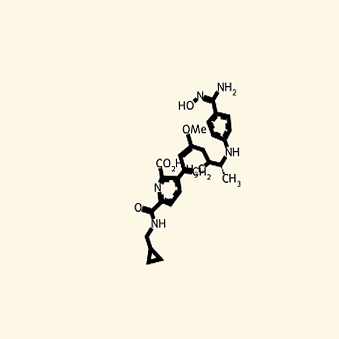 C=C(/C=C(\CC(C)[C@@H](C)Nc1ccc(/C(N)=N\O)cc1)OC)c1ccc(C(=O)NCC2CC2)nc1C(=O)O